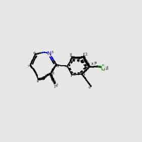 Cc1cc(C2=NC=CCC2C)ccc1Cl